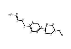 CC[C@H]1CC[C@H](c2ccc(CCC=CF)cc2)CC1